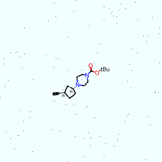 C#C[C@@H]1CC[C@@H](N2CCN(C(=O)OC(C)(C)C)CC2)C1